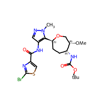 CO[C@H]1CO[C@H](c2c(NC(=O)c3csc(Br)n3)cnn2C)CC[C@H]1NC(=O)OC(C)(C)C